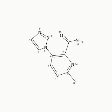 Cc1ncc(-n2ccnn2)c(C(N)=O)n1